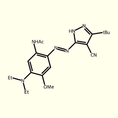 CCN(CC)c1cc(NC(C)=O)c(N=Nc2[nH]nc(C(C)(C)C)c2C#N)cc1OC